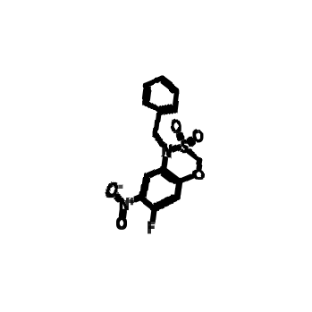 O=[N+]([O-])c1cc2c(cc1F)OCS(=O)(=O)N2Cc1ccccc1